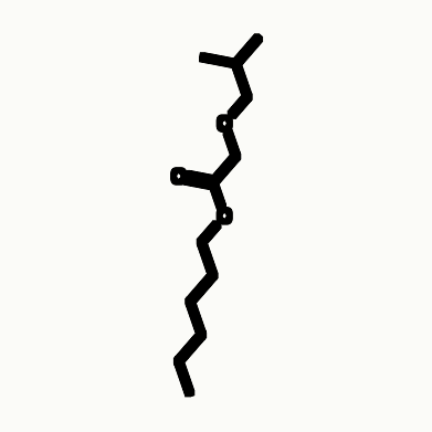 CCCCCCOC(=O)COCC(C)C